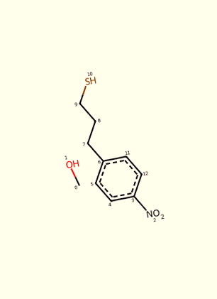 CO.O=[N+]([O-])c1ccc(CCCS)cc1